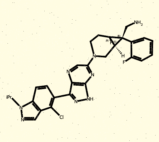 CC(C)n1ncc2c(Cl)c(-c3n[nH]c4nc(N5CC[C@@H]6[C@H](C5)[C@@]6(CN)c5ccccc5F)cnc34)ccc21